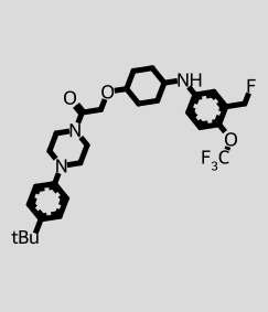 CC(C)(C)c1ccc(N2CCN(C(=O)COC3CCC(Nc4ccc(OC(F)(F)F)c(CF)c4)CC3)CC2)cc1